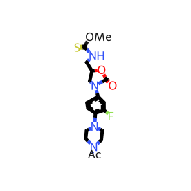 COC(=S)NCC1CN(c2ccc(N3CCN(C(C)=O)CC3)c(F)c2)C(=O)O1